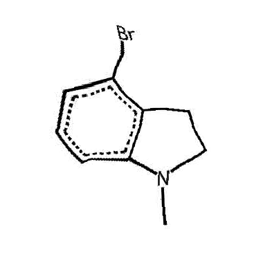 CN1CCc2c(Br)cccc21